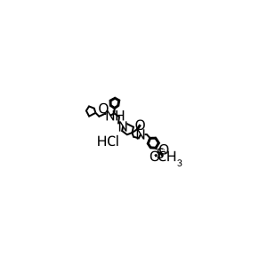 CS(=O)(=O)c1ccc(CN2CCC3(CCN(CCC(NC(=O)CC4CCCC4)c4ccccc4)CC3)C2=O)cc1.Cl